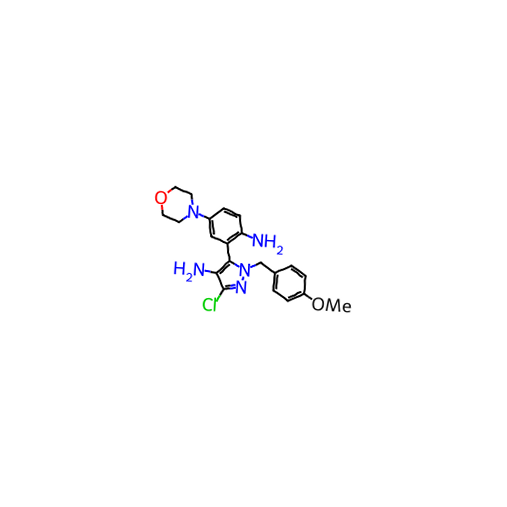 COc1ccc(Cn2nc(Cl)c(N)c2-c2cc(N3CCOCC3)ccc2N)cc1